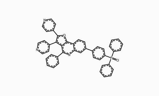 O=P(c1ccccc1)(c1ccccc1)c1ccc(-c2ccc3c(c2)nc(-c2ccccc2)c2c(-c4ccncc4)c(-c4ccncc4)oc23)cc1